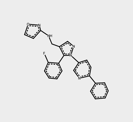 Fc1ccccc1-c1c(CNc2ccon2)cnn1-c1ccc(-c2ccccc2)nc1